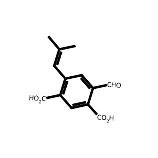 CC(C)=Cc1cc(C=O)c(C(=O)O)cc1C(=O)O